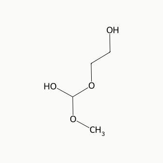 COC(O)OCCO